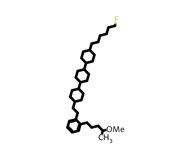 COC(C)CCCc1ccccc1CCC1CCC(C2CCC(C3CCC(CCCCCCF)CC3)CC2)CC1